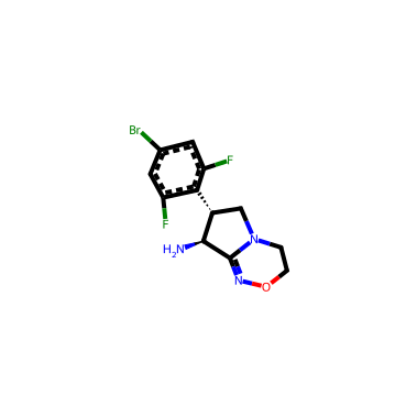 N[C@@H]1C2=NOCCN2C[C@H]1c1c(F)cc(Br)cc1F